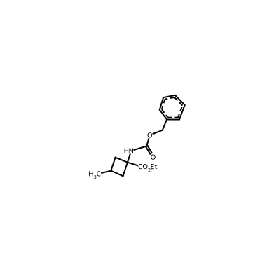 CCOC(=O)C1(NC(=O)OCc2ccccc2)CC(C)C1